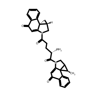 C[C@@H]1C2CN(C(=O)[C@@H](N)CCC(=O)N3C[C@H]4C[C@@]45C3=CC(=O)c3ccccc35)C3=CC(=O)c4ccccc4C321